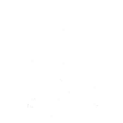 [C]=O.[Ru].c1ccc(P(c2ccccc2)c2ccccc2)cc1.c1ccc(P(c2ccccc2)c2ccccc2)cc1